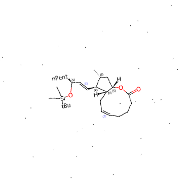 CCCCC[C@@H](/C=C/[C@@H]1[C@H]2C/C=C\CCCC(=O)O[C@H]2C[C@H]1C)O[Si](C)(C)C(C)(C)C